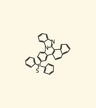 S=P(c1ccccc1)(c1ccccc1)c1ccc2c(c1)c1ccc3ccccc3c1c1nc3ccccc3n21